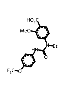 CCN(C(=O)Nc1ccc(OC(F)(F)F)cc1)c1ccc(C(=O)O)c(OC)c1